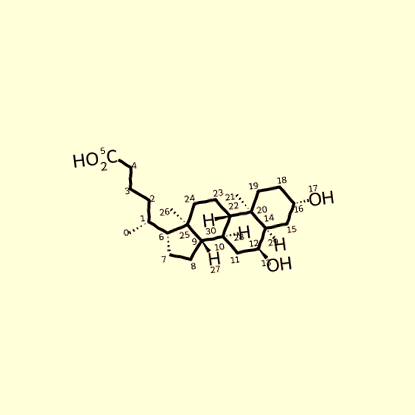 C[C@H](CCCC(=O)O)[C@H]1CC[C@H]2[C@@H]3C[C@H](O)[C@@H]4C[C@@H](O)CC[C@]4(C)[C@H]3CC[C@]12C